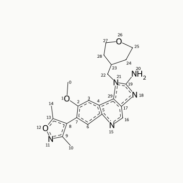 COc1cc2c(cc1-c1c(C)noc1C)ncc1nc(N)n(CC3CCOCC3)c12